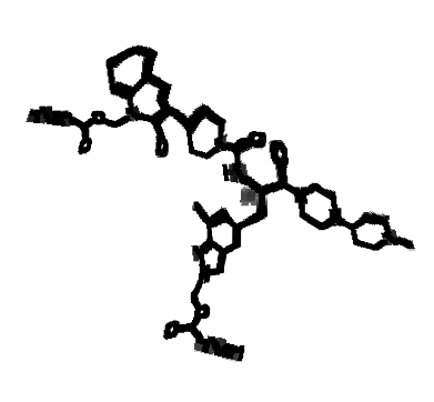 CCCCCCCCCC(=O)OCn1cc2cc(C[C@@H](NC(=O)N3CCC(c4cc5ccccc5n(COC(=O)CCCCCCCCC)c4=O)CC3)C(=O)N3CCN(C4CCN(C)CC4)CC3)cc(C)c2n1